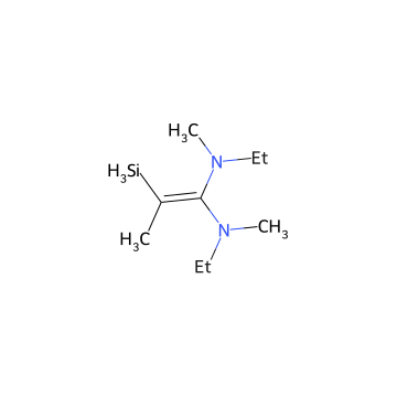 CCN(C)C(=C(C)[SiH3])N(C)CC